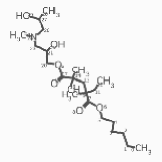 CCCCCCOC(=O)C(C)(CC)CC(C)(C)C(=O)OCC(O)CN(C)CC(C)O